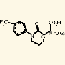 CC(=O)O[C@@H](C(=O)O)[C@H]1OCCN(c2ccc(C(F)(F)F)cc2)C1=O